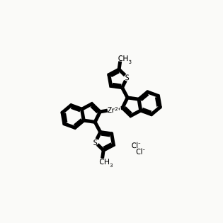 Cc1ccc(C2[C]([Zr+2][C]3=Cc4ccccc4C3c3ccc(C)s3)=Cc3ccccc32)s1.[Cl-].[Cl-]